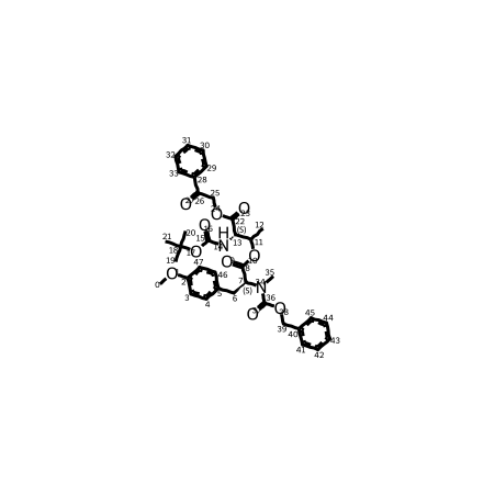 COc1ccc(C[C@@H](C(=O)OC(C)[C@H](NC(=O)OC(C)(C)C)C(=O)OCC(=O)c2ccccc2)N(C)C(=O)OCc2ccccc2)cc1